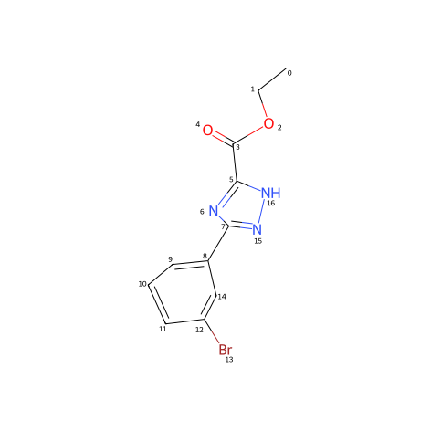 CCOC(=O)c1nc(-c2cccc(Br)c2)n[nH]1